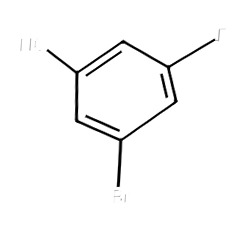 [CH]c1cc(F)cc(Br)c1